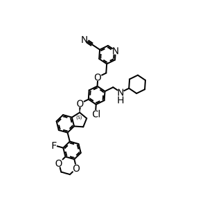 N#Cc1cncc(COc2cc(O[C@H]3CCc4c(-c5ccc6c(c5F)OCCO6)cccc43)c(Cl)cc2CNC2CCCCC2)c1